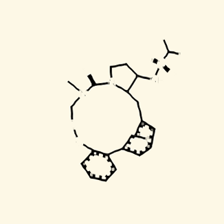 CN1CCOc2ccccc2-c2cccc(c2F)CC2C(NS(=O)(=O)C(F)F)CCN2C1=O